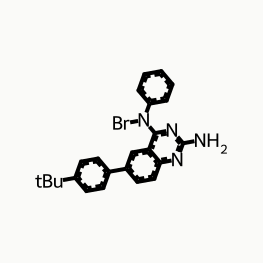 CC(C)(C)c1ccc(-c2ccc3nc(N)nc(N(Br)c4ccccc4)c3c2)cc1